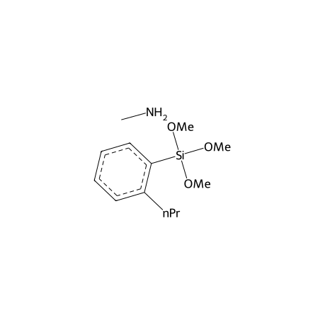 CCCc1ccccc1[Si](OC)(OC)OC.CN